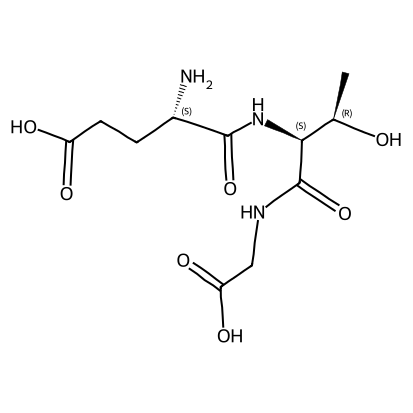 C[C@@H](O)[C@H](NC(=O)[C@@H](N)CCC(=O)O)C(=O)NCC(=O)O